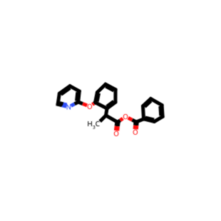 CC(C(=O)OC(=O)c1ccccc1)c1ccccc1Oc1ccccn1